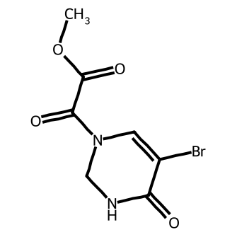 COC(=O)C(=O)N1C=C(Br)C(=O)NC1